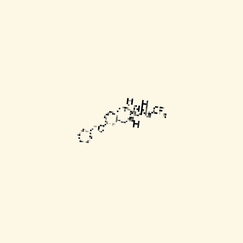 CC(NC[C@]1(N)[C@@H]2CC[C@H]1Cc1ccc(OCc3ccccc3)cc1C2)C(F)(F)F